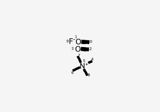 C=O.C=O.C[N+](C)(C)C.[F-]